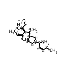 C=C(C(/C(C)=C\C)=C(/C)CC)C1CCN(C(N)/C=C\CC)C1